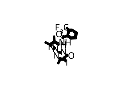 Cc1nn(-c2nc(C)c(I)c(=O)[nH]2)c(NC(=O)c2ccccc2C(F)(F)F)c1C